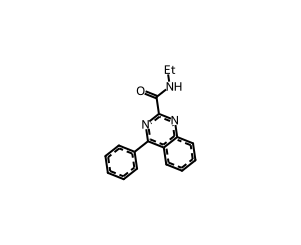 CCNC(=O)c1nc(-c2ccccc2)c2ccccc2n1